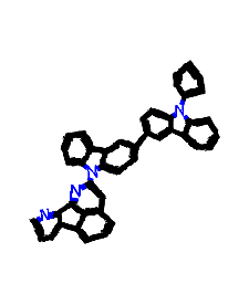 c1ccc(-n2c3ccccc3c3cc(-c4ccc5c(c4)c4ccccc4n5-c4cc5cccc6c5c(n4)-c4ncccc4-6)ccc32)cc1